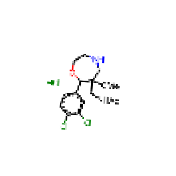 COC1(CNC(C)=O)CNCCOC1c1ccc(Cl)c(Cl)c1.Cl